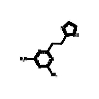 Nc1nc(N)nc(CCc2ncc[nH]2)n1